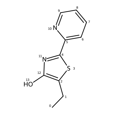 CCc1sc(-c2ccccn2)nc1O